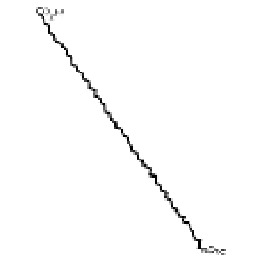 CCCCCCCCCCCCCCCCCCCCCCCCCCCCCCCCCCCCCCCCCCCCCCCCCCCCCCCCCCCCCCCCCCCCCC(=O)O